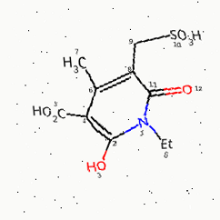 CCn1c(O)c(C(=O)O)c(C)c(CS(=O)(=O)O)c1=O